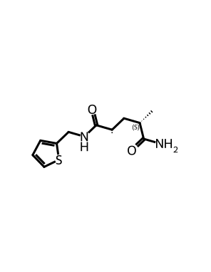 C[C@@H](C[CH]C(=O)NCc1cccs1)C(N)=O